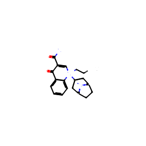 COCC[N+]1(C2CC3CCC(C2)N3C)C=C(C(N)=O)C(=O)c2ccccc21